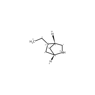 CCN1C[C@@H]2C[C@H]1CN2